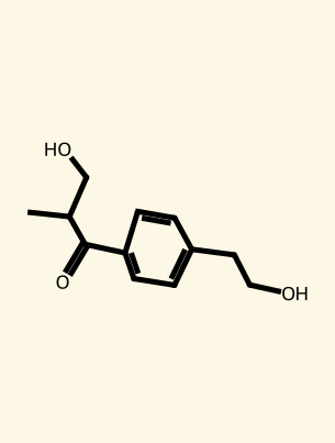 CC(CO)C(=O)c1ccc(CCO)cc1